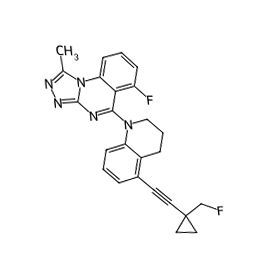 Cc1nnc2nc(N3CCCc4c(C#CC5(CF)CC5)cccc43)c3c(F)cccc3n12